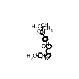 CN1CCN(c2ncccc2CC2CCCN(c3ccc(-c4coc(C(C)(C)C)n4)cc3)C2=O)CC1